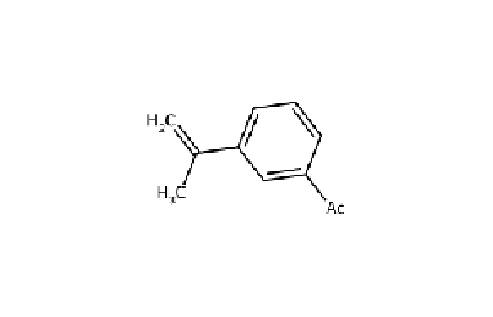 C=C(C)c1cccc(C(C)=O)c1